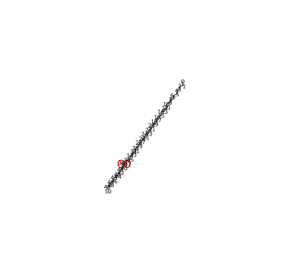 CCCCCCCCCCCCCCCCCCCCCCCCCCCCCCCCCCCCCOC(=O)CCCCCCCCCCC